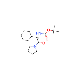 CC(C)(C)OC(=O)N[C@H](C(=O)N1CCCC1)C1CCCCC1